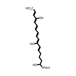 CCCCCC(O)CCCC=CC(O)=CC=CC=CC=C(O)C=CC(=O)O